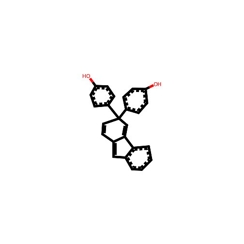 Oc1ccc(C2(c3ccc(O)cc3)C=CC3=Cc4ccccc4C3=C2)cc1